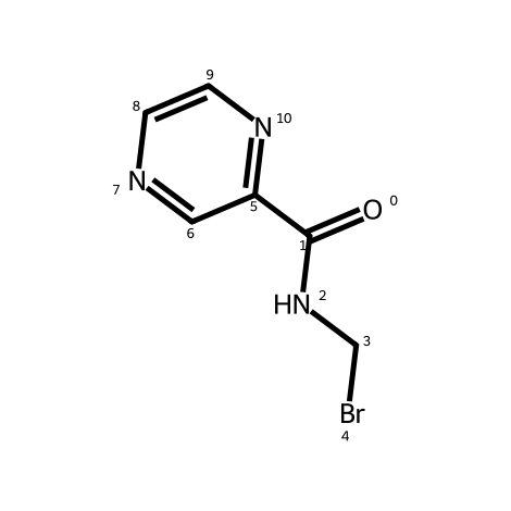 O=C(NCBr)c1cnccn1